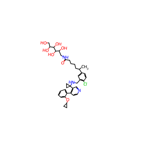 CC(CCCCC(=O)NCC(O)C(O)C(O)C(O)CO)c1ccc(Cl)c(CNC2(c3cnccc3-c3ccccc3OC3CC3)CC2)c1